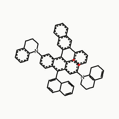 C1=CC2C=CC=C(c3c4cc(N5CCCC6=C5CCC=C6)ccc4c(-c4cc5ccccc5cc4-c4ccccc4)c4cc(N5CCCc6ccccc65)ccc34)C2C=C1